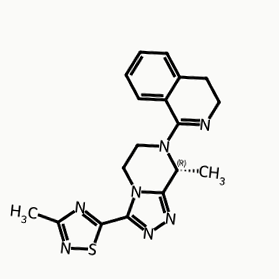 Cc1nsc(-c2nnc3n2CCN(C2=NCCc4ccccc42)[C@@H]3C)n1